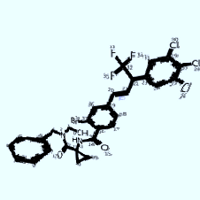 CCN(Cc1ccccc1)C(=O)C1(NC(=O)c2ccc(/C=C/C(c3cc(Cl)c(Cl)c(Cl)c3)C(F)(F)F)cc2Br)CC1